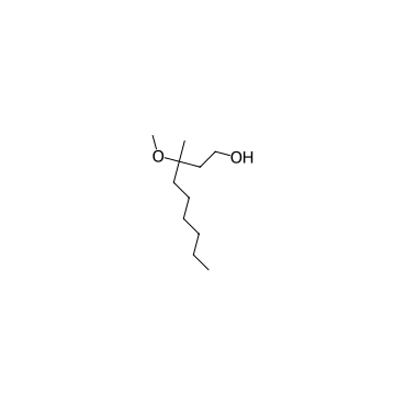 CCCCCCC(C)(CCO)OC